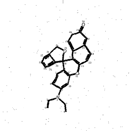 CCN(CC)c1ccc2c(c1)Oc1ccc3c(c1C21OCc2ccccc21)=CCC(=O)C=3